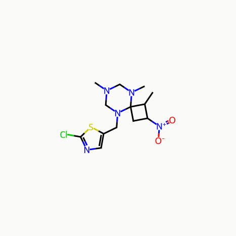 CC1C([N+](=O)[O-])CC12N(C)CN(C)CN2Cc1cnc(Cl)s1